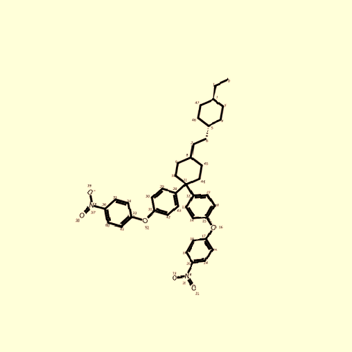 CC[C@H]1CC[C@H](CCC2CCC(c3ccc(Oc4ccc([N+](=O)[O-])cc4)cc3)(c3ccc(Oc4ccc([N+](=O)[O-])cc4)cc3)CC2)CC1